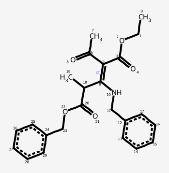 CCOC(=O)/C(C(C)=O)=C(\NCc1ccccc1)C(C)C(=O)OCc1ccccc1